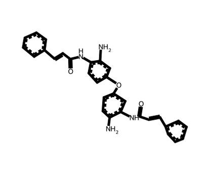 Nc1cc(Oc2ccc(N)c(NC(=O)C=Cc3ccccc3)c2)ccc1NC(=O)C=Cc1ccccc1